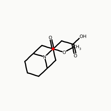 COC(=O)N1C2CCCC1CC(CC(=O)O)C2